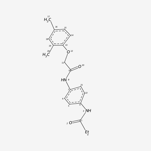 CCC(=O)Nc1ccc(NC(=O)COc2ccc(C)cc2C)cc1